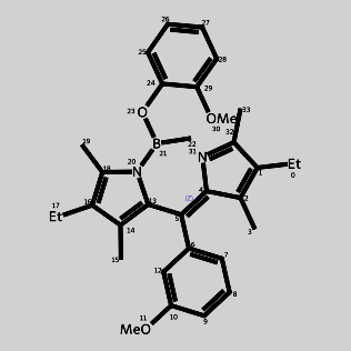 CCC1=C(C)/C(=C(\c2cccc(OC)c2)c2c(C)c(CC)c(C)n2B(C)Oc2ccccc2OC)N=C1C